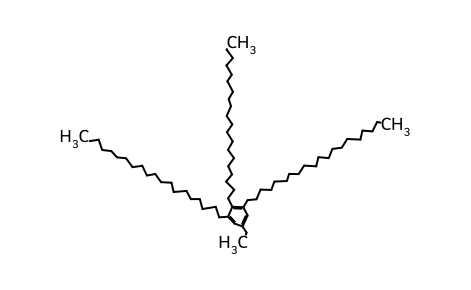 CCCCCCCCCCCCCCCCCCCCc1cc(CC)cc(CCCCCCCCCCCCCCCCCCCC)c1CCCCCCCCCCCCCCCCCCCC